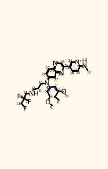 CC/C(=C\C(=C/COC)N(CCCNCC(F)(F)CF)c1ccc2ncc(-c3ccc(NC)nc3)nc2c1)OC